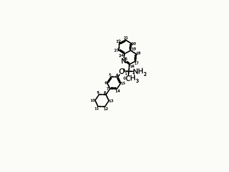 CC(N)(Oc1ccc(C2CCCCC2)cc1)c1ccc2ccccc2n1